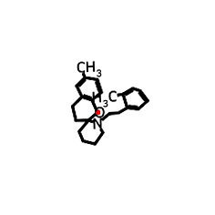 Cc1ccc2c(c1)CCC1(CCCCN1CCc1ccccc1C)C2=O